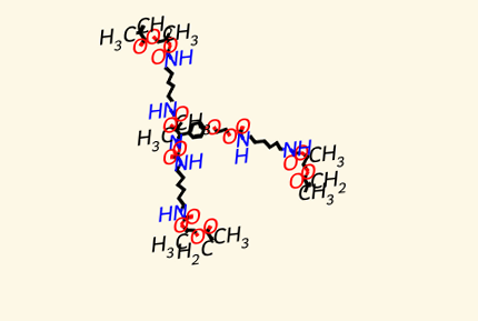 C=C(C)C(=O)OCC(C)OC(=O)NCCCCCCNC(=O)OCCOc1ccc(/C(=N\OC(=O)NCCCCCCNC(=O)OC(C)COC(=O)C(=C)C)C(C)(C)OC(=O)NCCCCCCNC(=O)OC(C)COC(=O)C(=C)C)cc1